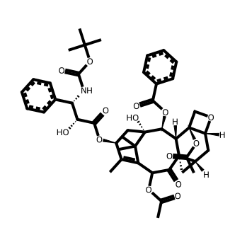 CC(=O)OC1C(=O)[C@]23C[C@H]2C[C@H]2OC[C@@]2(OC(C)=O)[C@H]3[C@H](OC(=O)c2ccccc2)[C@]2(O)C[C@H](OC(=O)[C@H](O)[C@@H](NC(=O)OC(C)(C)C)c3ccccc3)C(C)=C1C2(C)C